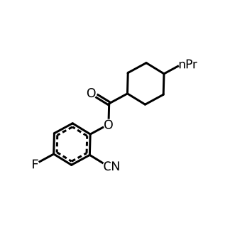 CCCC1CCC(C(=O)Oc2ccc(F)cc2C#N)CC1